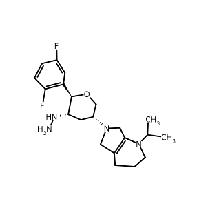 CC(C)N1CCCC2=C1CN([C@H]1CO[C@H](c3cc(F)ccc3F)[C@@H](NN)C1)C2